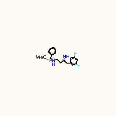 COC[C@@H](NC[CH][C@@H](N)Cc1cc(F)cc(F)c1)c1ccccc1